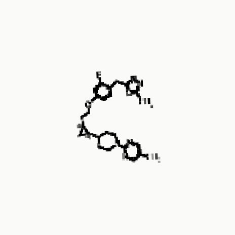 Cc1cnc(N2CCC([C@H]3C[C@H]3CCOc3ccc(Cc4nnc(C)o4)c(F)c3)CC2)nc1